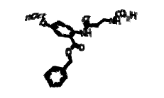 CCCCCCCCOc1ccc(NC(=O)CCNC(=O)O)c(C(=O)OCc2ccccc2)c1